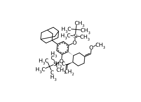 C=C(C)[C@@H]1CCC(=COC)C[C@H]1c1c(O[Si](C)(C)C(C)(C)C)cc(C23CC4CC(CC(C4)C2)C3)cc1O[Si](C)(C)C(C)(C)C